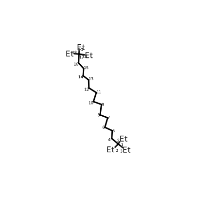 CCC(CC)(CC)CCCCCCCCCCCCCC(CC)(CC)CC